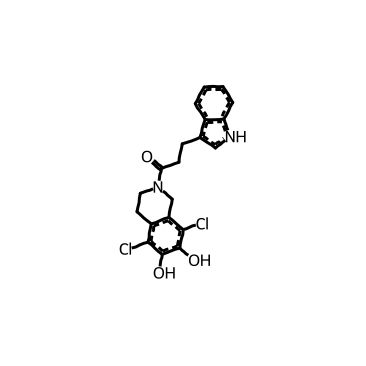 O=C(CCc1c[nH]c2ccccc12)N1CCc2c(Cl)c(O)c(O)c(Cl)c2C1